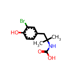 CC(C)(Cc1ccc(O)c(Br)c1)NC(=O)O